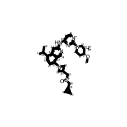 CO[C@@H]1CCN(c2nccc(Nc3cc4c(C(C)C)ccc(N5CC(C[S+]([O-])CC6C=C6)C5)c4cn3)n2)C[C@@H]1F